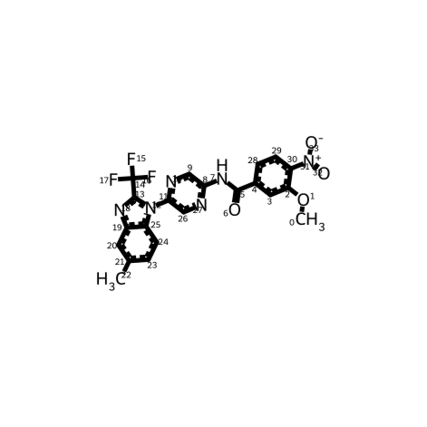 COc1cc(C(=O)Nc2cnc(-n3c(C(F)(F)F)nc4cc(C)ccc43)cn2)ccc1[N+](=O)[O-]